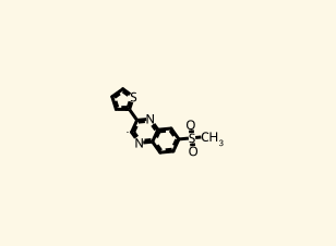 CS(=O)(=O)c1ccc2n[c]c(-c3cccs3)nc2c1